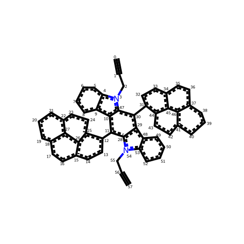 C#CCn1c2ccccc2c2c(-c3ccc4ccc5cccc6ccc3c4c56)c3c(c(-c4ccc5ccc6cccc7ccc4c5c67)c21)c1ccccc1n3CC#C